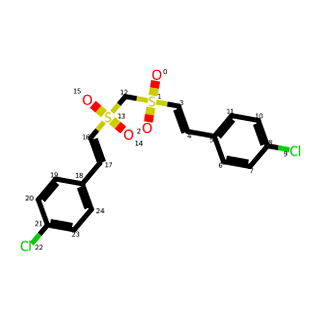 O=S(=O)(C=Cc1ccc(Cl)cc1)CS(=O)(=O)C=Cc1ccc(Cl)cc1